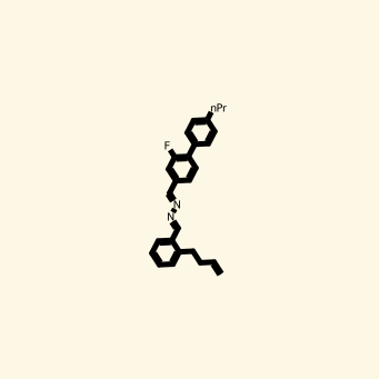 C=CCCc1ccccc1C=NN=Cc1ccc(-c2ccc(CCC)cc2)c(F)c1